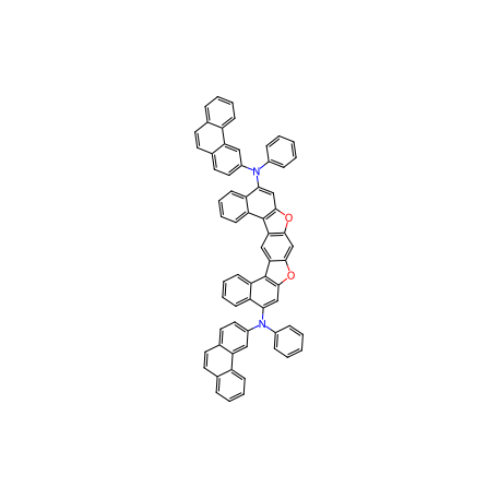 c1ccc(N(c2ccc3ccc4ccccc4c3c2)c2cc3oc4cc5oc6cc(N(c7ccccc7)c7ccc8ccc9ccccc9c8c7)c7ccccc7c6c5cc4c3c3ccccc23)cc1